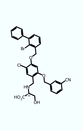 N#Cc1cccc(COc2cc(OCc3cccc(-c4ccccc4)c3Br)c(Cl)cc2CN[C@@H](CO)C(=O)O)c1